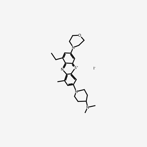 CCc1cc(N2CCOCC2)cc2[s+]c3cc(N4CCC(N(C)C)CC4)cc(C)c3nc12.[I-]